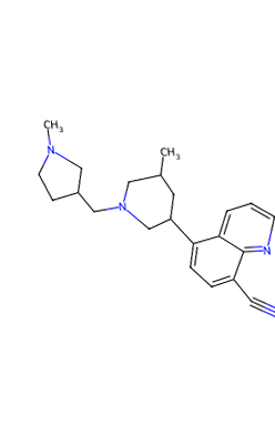 CC1CC(c2ccc(C#N)c3ncccc23)CN(CC2CCN(C)C2)C1